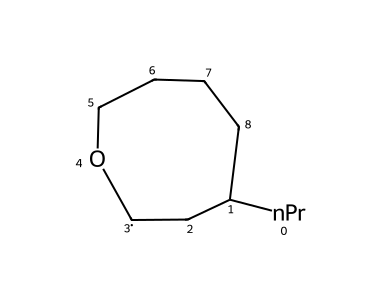 [CH2]CCC1C[CH]OCCCC1